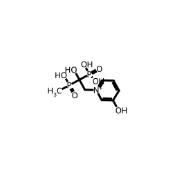 CP(=O)(O)C(O)(C[n+]1cccc(O)c1)P(=O)(O)O